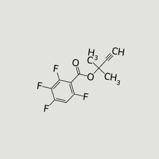 C#CC(C)(C)OC(=O)c1c(F)cc(F)c(F)c1F